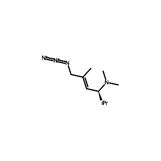 C/C(=C\[C@H](C(C)C)N(C)C)CN=[N+]=[N-]